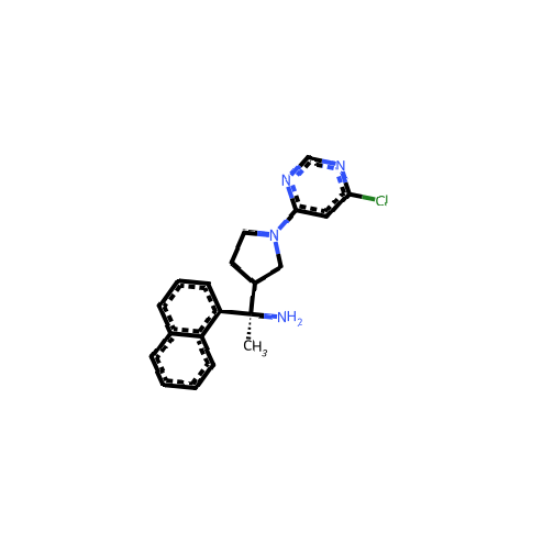 C[C@](N)(c1cccc2ccccc12)C1CCN(c2cc(Cl)ncn2)C1